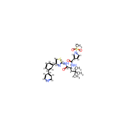 CC(C)(C)C[C@H](NC(=O)c1ccn(S(C)(=O)=O)c1)C(=O)Nc1nc(-c2cccc(-c3ccncc3)c2)cs1